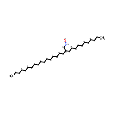 CCCCCCCCCCCCCCCCCC(CCCCCCCCCCC)CN=O